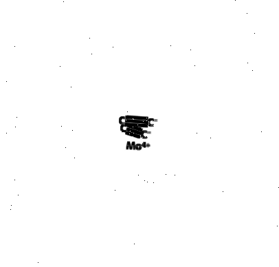 [C-]#[C-].[C-]#[C-].[Mo+4]